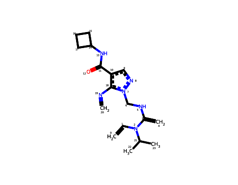 C=CN(C(=C)NCn1ncc(C(=O)NC2CCC2)c1N=C)C(C)C